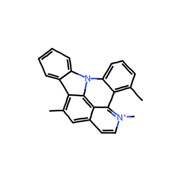 Cc1cc2cc[n+](C)c3c4c(C)cccc4n4c5ccccc5c1c4c23